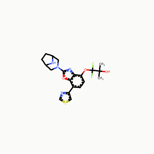 CC(C)(O)C(F)(F)Oc1ccc(-c2cscn2)c2oc(N3CC4CCC(C3)N4)nc12